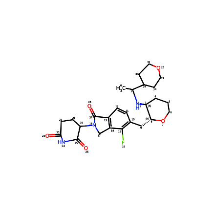 CC(N[C@H]1CCCO[C@@H]1Cc1ccc2c(c1F)CN(C1CCC(=O)NC1=O)C2=O)C1CCOCC1